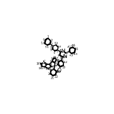 c1ccc(-c2ccc(-c3cc(-c4ccc5c(c4)C4(c6ccccc6O5)c5ccccc5-c5c4ccc4ccsc54)nc(-c4ccccc4)n3)cc2)cc1